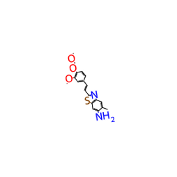 COCOc1ccc(C=Cc2nc3cc(C)c(N)cc3s2)cc1OC